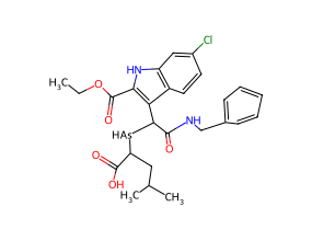 CCOC(=O)c1[nH]c2cc(Cl)ccc2c1C([AsH]C(CC(C)C)C(=O)O)C(=O)NCc1ccccc1